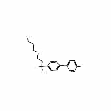 CCCCNCCC(C)(O)c1ccc(-c2ccc(Cl)cc2)cc1